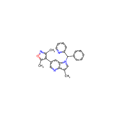 Cc1noc(C)c1-c1cnc2c(C)cn(C(c3ccccc3)c3ccccn3)c2c1